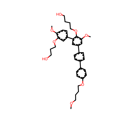 COCCCCOc1ccc(-c2ccc(-c3cc(OC)c(OCCCCO)c(-c4ccc(OC)c(OCCCO)c4)c3)cc2)cc1